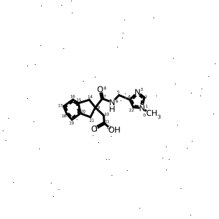 Cn1cnc(CNC(=O)C2(CC(=O)O)Cc3ccccc3C2)c1